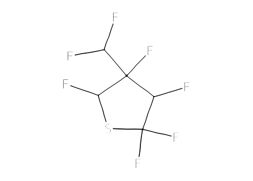 FC(F)C1(F)C(F)SC(F)(F)C1F